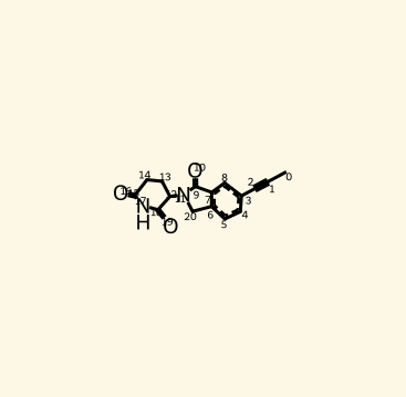 CC#Cc1ccc2c(c1)C(=O)N(C1CCC(=O)NC1=O)C2